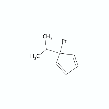 CC(C)[C]1([Pr])C=CC=C1